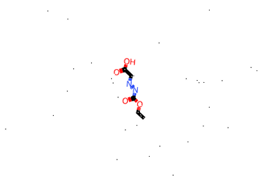 CCOC(=O)N=N[CH]C(=O)O